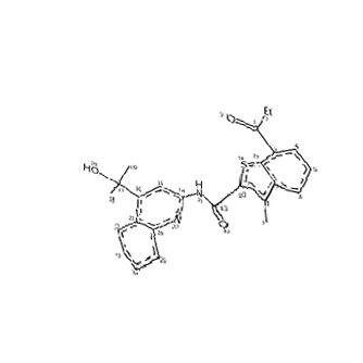 CCC(=O)c1cccc2c(C)c(C(=O)Nc3cc(C(C)(C)O)c4ccccc4n3)sc12